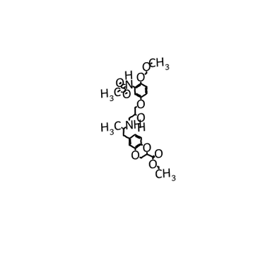 CCOC(=O)C1COc2cc(C[C@@H](C)NC[C@H](O)COc3ccc(OCOC)c(NS(C)(=O)=O)c3)ccc2O1